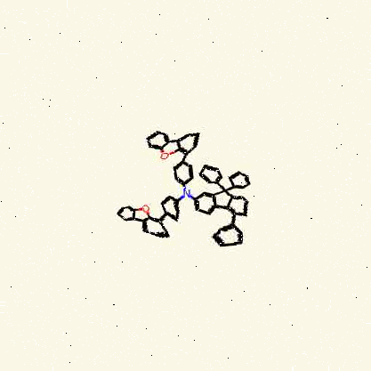 c1ccc(-c2cccc3c2-c2ccc(N(c4ccc(-c5cccc6c5oc5ccccc56)cc4)c4ccc(-c5cccc6c5oc5ccccc56)cc4)cc2C3(c2ccccc2)c2ccccc2)cc1